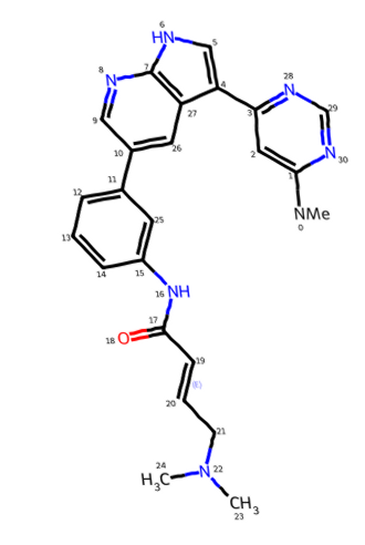 CNc1cc(-c2c[nH]c3ncc(-c4cccc(NC(=O)/C=C/CN(C)C)c4)cc23)ncn1